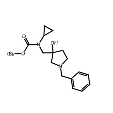 CC(C)(C)OC(=O)N(CC1(O)CCN(Cc2ccccc2)C1)C1CC1